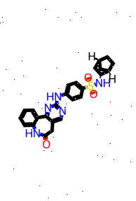 O=C1Cc2cnc(Nc3ccc(S(=O)(=O)N[C@@H]4C[C@@H]5CC[C@@H]4C5)cc3)nc2-c2ccccc2N1